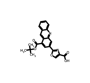 CC(C)(C)OC(=O)c1cc(-c2nc(C(=O)O)co2)cc2nc3ccccc3cc12